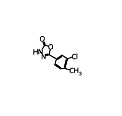 Cc1ccc(-c2n[nH]c(=O)o2)cc1Cl